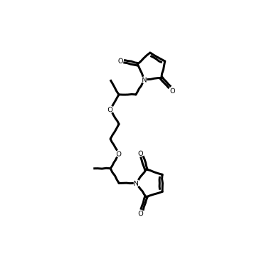 CC(CN1C(=O)C=CC1=O)OCCOC(C)CN1C(=O)C=CC1=O